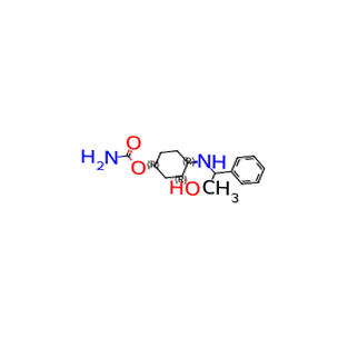 CC(N[C@@H]1CC[C@@H](OC(N)=O)C[C@H]1O)c1ccccc1